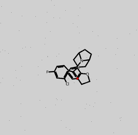 O=C(c1ccc(F)cc1Cl)N1CC2CCC(C1)N2c1cccc2c1OCC2